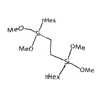 CCCCCC[Si](CC[Si](CCCCCC)(OC)OC)(OC)OC